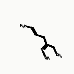 CC=CCC(CC)=NO